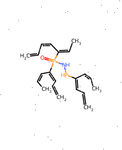 C=C/C=C\C(=C/C)P(=O)(NPC(/C=C\C)=C/C=C)C(/C=C\C)=C/C=C